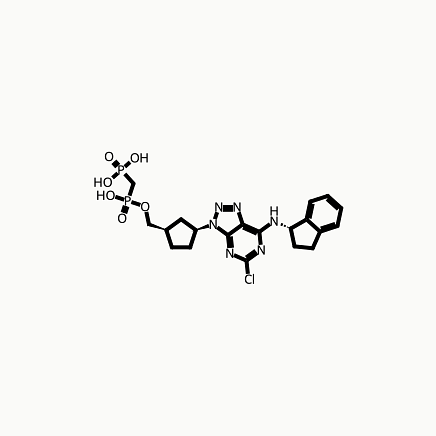 O=P(O)(O)CP(=O)(O)OC[C@@H]1CC[C@H](n2nnc3c(N[C@H]4CCc5ccccc54)nc(Cl)nc32)C1